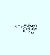 Cc1c(OCCCC2CCNCC2)cccc1-c1ccc(N2CCc3cccc(C(=O)Nc4nc5ccccc5s4)c3C2)nc1C(=O)OC(C)(C)C